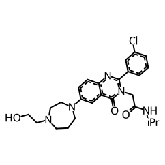 CC(C)NC(=O)Cn1c(-c2cccc(Cl)c2)nc2ccc(N3CCCN(CCO)CC3)cc2c1=O